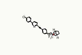 O[C@@]1(C(F)(F)F)C[C@H]2CC[C@@H](C1)N2CCOc1ccc(C#Cc2ccc(-c3ccc(Cl)cc3)cn2)cc1